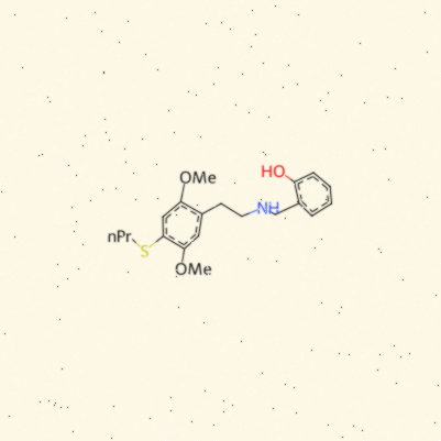 CCCSc1cc(OC)c(CCNCc2ccccc2O)cc1OC